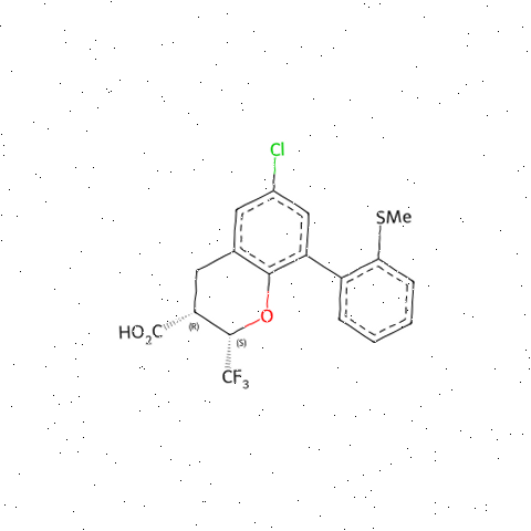 CSc1ccccc1-c1cc(Cl)cc2c1O[C@H](C(F)(F)F)[C@H](C(=O)O)C2